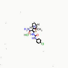 CCN1[C@H]2CC[C@@H]1c1c(sc(NC(=O)Nc3ccc(Cl)cc3)c1C(N)=O)C2.Cl